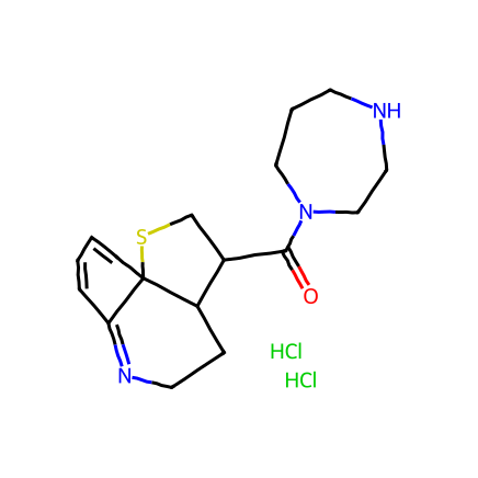 Cl.Cl.O=C(C1CSC23C=CC=CC2=NCCC13)N1CCCNCC1